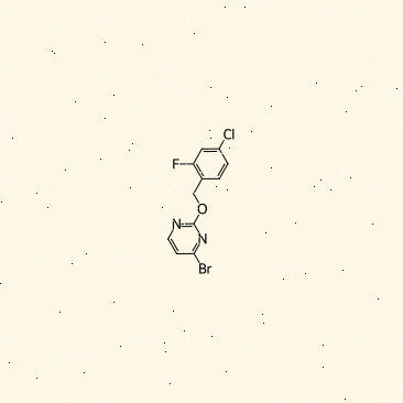 Fc1cc(Cl)ccc1COc1nccc(Br)n1